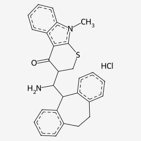 Cl.Cn1c2c(c3ccccc31)C(=O)C(C(N)C1c3ccccc3CCc3ccccc31)CS2